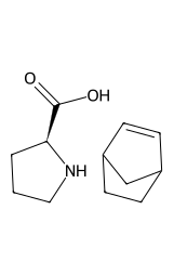 C1=CC2CCC1C2.O=C(O)[C@@H]1CCCN1